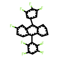 Fc1ccc2c(-c3c(F)c(F)cc(F)c3F)c3ccccc3c(-c3cc(F)c(F)c(F)c3)c2c1